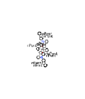 CCCCCCC1(CCCCC)c2ccccc2-c2ccc(N(c3ccc4c(c3)C(CCCCC)(CCCCC)c3ccccc3-4)c3ccccc3-c3ccc(C(CC)(CC)c4ccc(-c5ccccc5N(c5ccc6c(c5)C(CCCCC)(CCCCC)c5ccccc5-6)c5ccc6c(c5)C(CCCCC)(CCCCC)c5ccccc5-6)cc4)cc3)cc21